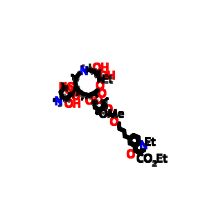 CCOC(=O)c1cn(CC)c2ccc(CCCCOCCO[C@H]3[C@H](C)O[C@@H](O[C@H]4[C@H](C)[C@@H](O[C@@H]5O[C@H](C)C[C@H](N(C)C)[C@H]5O)[C@](C)(O)C[C@@H](C)CN(C)[C@H](C)[C@@H](O)[C@](C)(O)[C@@H](CC)OC(=O)[C@@H]4C)C[C@@]3(C)OC)cc2c1=O